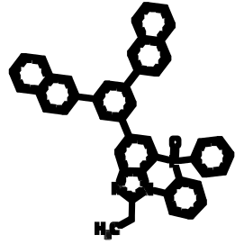 CCc1nc2cc(-c3cc(-c4ccc5ccccc5c4)cc(-c4ccc5ccccc5c4)c3)cc3c2n1-c1ccccc1P3(=O)c1ccccc1